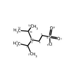 CC(C)N(CCS(=O)(=O)Cl)C(C)C